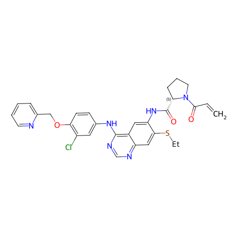 C=CC(=O)N1CCC[C@H]1C(=O)Nc1cc2c(Nc3ccc(OCc4ccccn4)c(Cl)c3)ncnc2cc1SCC